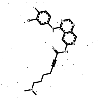 CN(C)CCCCC#CC(=O)Nc1cc2c(Nc3ccc(F)c(Cl)c3)ncnc2cn1